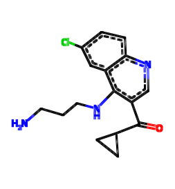 NCCCNc1c(C(=O)C2CC2)cnc2ccc(Cl)cc12